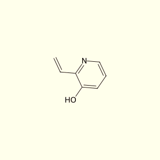 C=Cc1ncccc1O